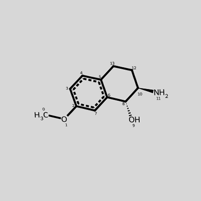 COc1ccc2c(c1)[C@@H](O)[C@H](N)CC2